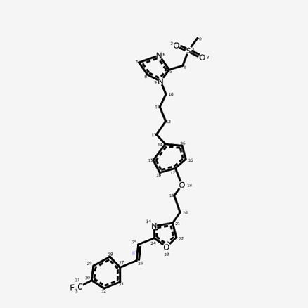 CS(=O)(=O)Cc1nccn1CCCCc1ccc(OCCc2coc(/C=C/c3ccc(C(F)(F)F)cc3)n2)cc1